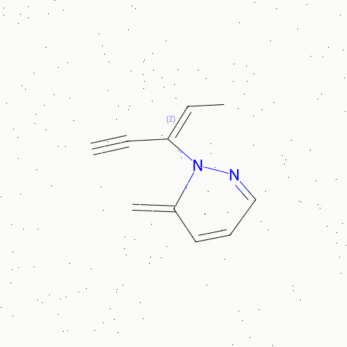 C#C/C(=C/C)N1N=CC=CC1=C